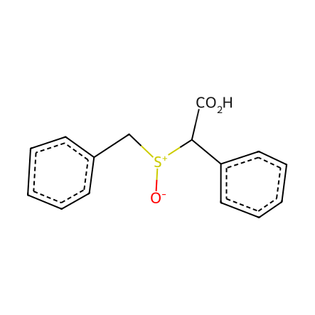 O=C(O)C(c1ccccc1)[S+]([O-])Cc1ccccc1